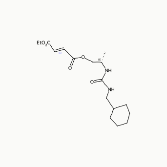 CCOC(=O)/C=C/C(=O)OC[C@H](C)NC(=O)NCC1CCCCC1